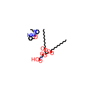 CCCCCCCCCCCC(=O)OCC(COC(=O)CCCCCCCCCCC)OC(=O)/C=C/C(=O)O.CCCN1CCCC[C@H]1C(=O)Nc1c(C)cccc1C